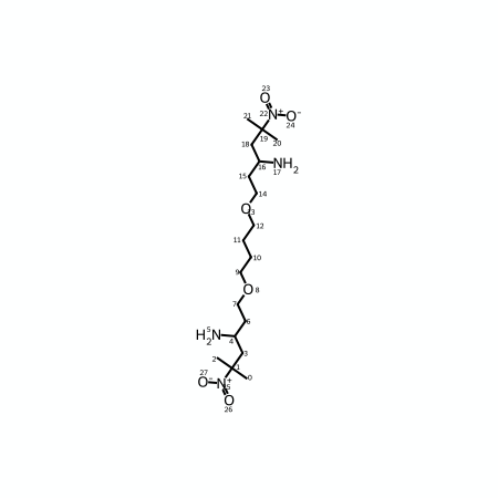 CC(C)(CC(N)CCOCCCCOCCC(N)CC(C)(C)[N+](=O)[O-])[N+](=O)[O-]